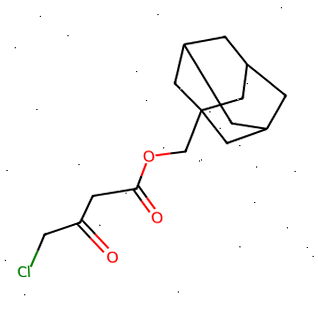 O=C(CCl)CC(=O)OCC12CC3CC(CC(C3)C1)C2